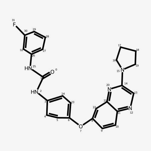 O=C(Nc1ccc(Oc2ccc3ncc(N4CCCC4)nc3c2)cc1)Nc1cccc(F)c1